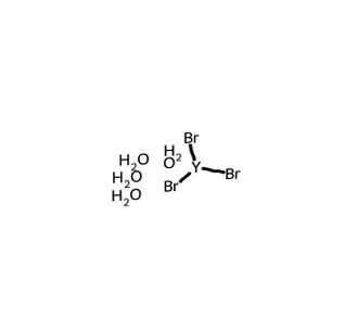 O.O.O.O.[Br][Y]([Br])[Br]